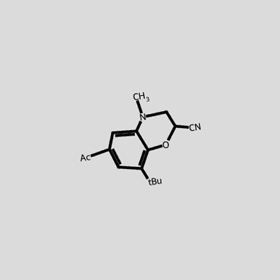 CC(=O)c1cc2c(c(C(C)(C)C)c1)OC(C#N)CN2C